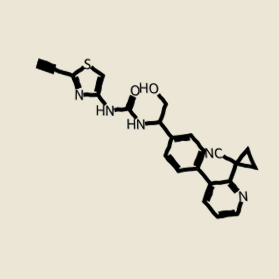 C#Cc1nc(NC(=O)NC(CO)c2ccc(-c3cccnc3C3(C#N)CC3)cc2)cs1